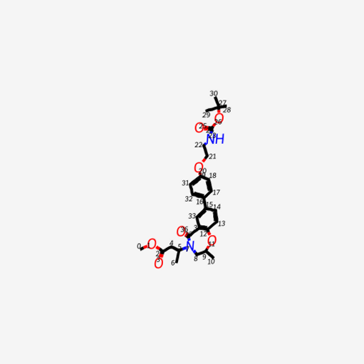 COC(=O)CC(C)N1CC(C)Oc2ccc(-c3ccc(OCCNC(=O)OC(C)(C)C)cc3)cc2C1=O